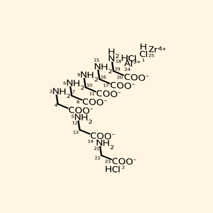 Cl.Cl.Cl.NCC(=O)[O-].NCC(=O)[O-].NCC(=O)[O-].NCC(=O)[O-].NCC(=O)[O-].NCC(=O)[O-].NCC(=O)[O-].[Al+3].[Zr+4]